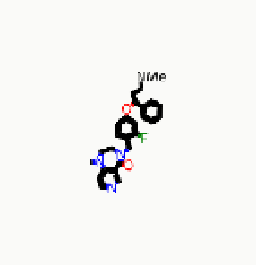 CNCCC(Oc1ccc(CN2CCN(C)c3ccncc3C2=O)c(F)c1)c1ccccc1